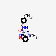 Cc1ccc(SNC(=O)Nc2noc3cccc(N(C)C)c23)cc1